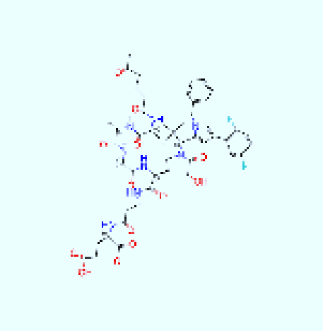 CC(=O)CCCC(=O)N[C@@H](C)C(=O)N(C)[C@@H](C)C(=O)N[C@@H](C)C(=O)N[C@@H](CCN(C(=O)CO)[C@@H](c1cc(-c2cc(F)ccc2F)cn1Cc1ccccc1)C(C)(C)C)C(=O)NCCC(=O)N[C@H](CCC(=O)O)C(=O)O